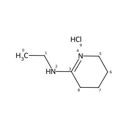 CCNC1=NCCCC1.Cl